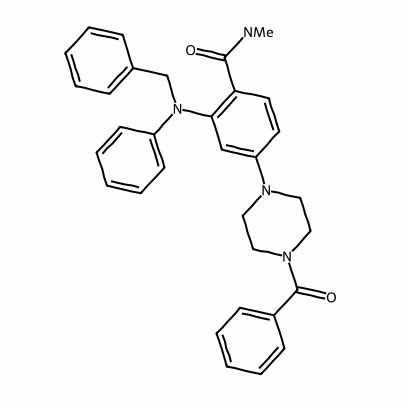 CNC(=O)c1ccc(N2CCN(C(=O)c3ccccc3)CC2)cc1N(Cc1ccccc1)c1ccccc1